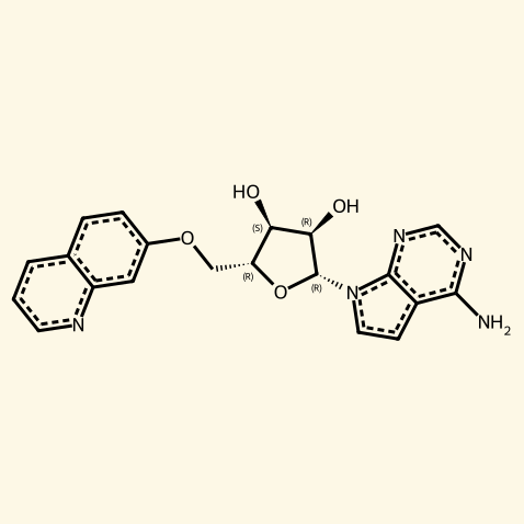 Nc1ncnc2c1ccn2[C@@H]1O[C@H](COc2ccc3cccnc3c2)[C@@H](O)[C@H]1O